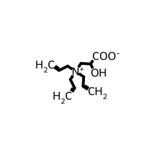 C=CC[N+](CC=C)(CC=C)CC(O)C(=O)[O-]